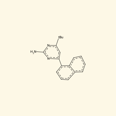 CC(C)(C)c1cc(-c2cccc3ccccc23)nc(N)n1